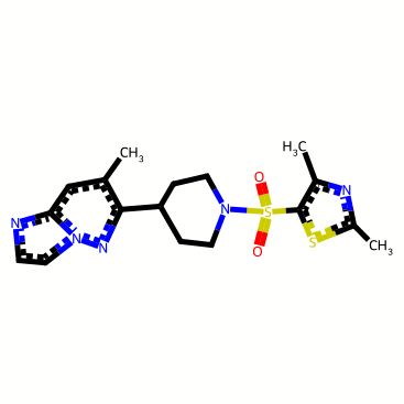 Cc1nc(C)c(S(=O)(=O)N2CCC(c3nn4ccnc4cc3C)CC2)s1